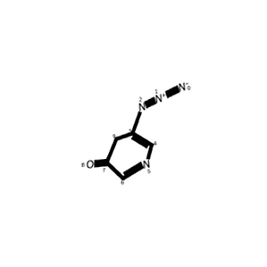 [N-]=[N+]=NC1=CN=CC(=O)C1